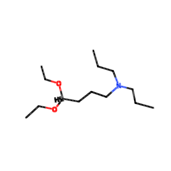 CCCN(CCC)CCC[SiH](OCC)OCC